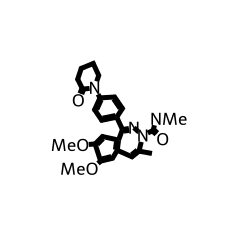 CNC(=O)N1N=C(c2ccc(N3CCCCC3=O)cc2)c2cc(OC)c(OC)cc2C=C1C